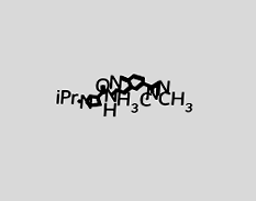 Cc1ncc(-c2ccc3cnc(NC(=O)C4CCN(CC(C)C)C4)cc3c2)n1C